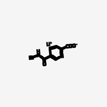 CCNC(=O)c1ccc(C(=O)[O-])nc1.[Li+]